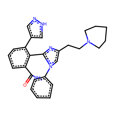 NC(=O)c1cccc(-c2cn[nH]c2)c1-c1nc(CCN2CCCCC2)cn1-c1ccccc1